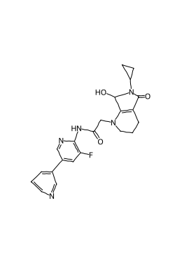 O=C(CN1CCCC2=C1C(O)N(C1CC1)C2=O)Nc1ncc(-c2cccnc2)cc1F